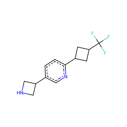 FC(F)(F)C1CC(c2ccc(C3CNC3)cn2)C1